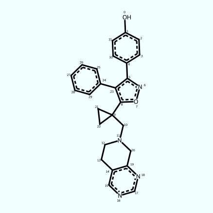 Oc1ccc(-c2noc(C3(CN4CCc5cncnc5C4)CC3)c2-c2ccccc2)cc1